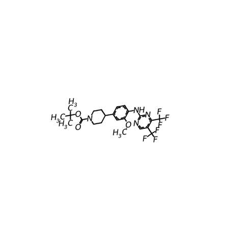 COc1cc(C2CCN(C(=O)OC(C)(C)C)CC2)ccc1Nc1ncc(C(F)(F)F)c(C(F)(F)F)n1